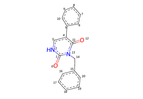 O=c1[nH]cc(-c2ccccc2)c(=O)n1Cc1ccccc1